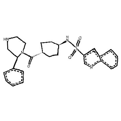 O=C([C@H]1CC[C@H](NS(=O)(=O)c2cnc3ccccc3c2)CC1)N1CCNCC1c1ccccc1